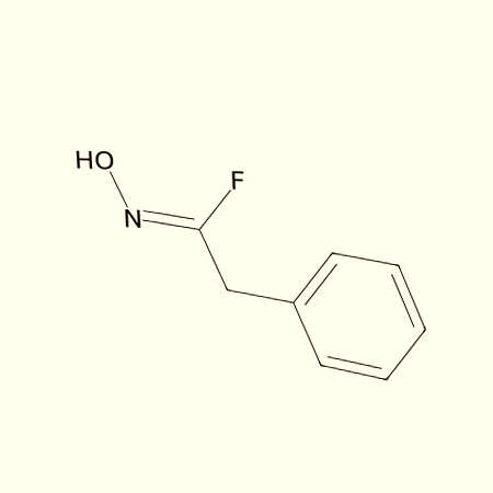 ON=C(F)Cc1ccccc1